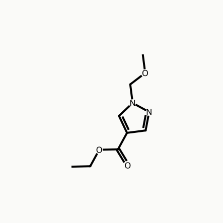 CCOC(=O)c1cnn(COC)c1